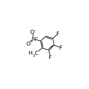 Cc1c([N+](=O)[O-])cc(F)c(F)c1F